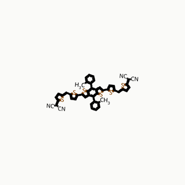 Cc1ccccc1-c1c2cc(-c3ccc(/C=c4/ccc(=C(C#N)C#N)s4)s3)sc2c(-c2ccccc2C)c2cc(-c3ccc(/C=c4/ccc(=C(C#N)C#N)s4)s3)sc12